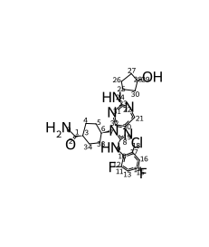 NC(=O)[C@H]1CC[C@@H](n2c(Nc3c(F)cc(F)cc3Cl)nc3cnc(N[C@@H]4CCC(O)C4)nc32)CC1